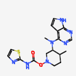 CC1CCN(OC(=O)Nc2nccs2)CC1N(C)c1ncnc2[nH]ccc12